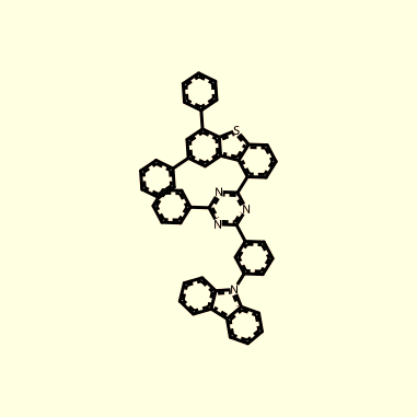 c1ccc(-c2cc(-c3ccccc3)c3sc4cccc(-c5nc(-c6ccccc6)nc(-c6cccc(-n7c8ccccc8c8ccccc87)c6)n5)c4c3c2)cc1